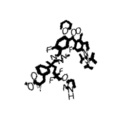 COC(=O)[C@@H](C)Cc1cccc(C(C)(CCC(F)(F)COc2cc[nH]n2)c2nc(-c3cc(C(OC4CCCCO4)c4c(F)cc5c(ccn5[Si](C(C)C)(C(C)C)C(C)C)c4C=O)ccc3F)n(C)n2)c1